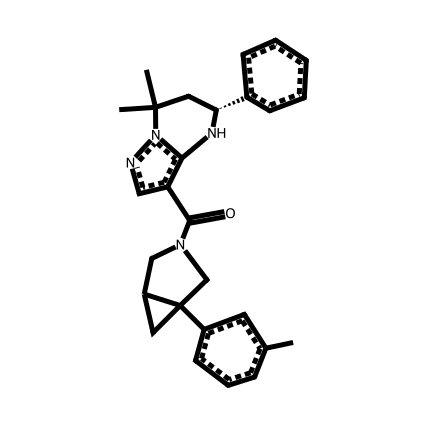 Cc1cccc(C23CC2CN(C(=O)c2cnn4c2N[C@@H](c2ccccc2)CC4(C)C)C3)c1